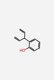 C=CC(C=C)c1ccccc1O